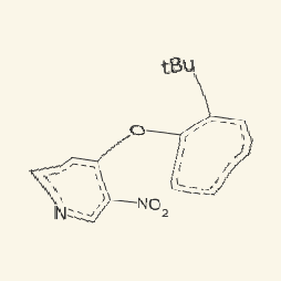 CC(C)(C)c1ccccc1Oc1ccncc1[N+](=O)[O-]